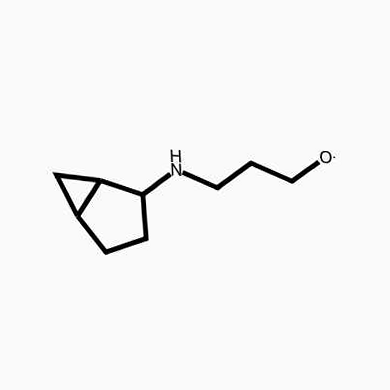 [O]CCCNC1CCC2CC21